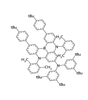 Cc1cccc(C)c1N1c2ccc(-c3ccc(C(C)(C)C)cc3)cc2B2c3cc(-c4ccc(C(C)(C)C)cc4)ccc3N(c3c(C)cccc3C)c3cc(N(c4cc(C(C)(C)C)cc(C(C)(C)C)c4)c4cc(C(C)(C)C)cc(C(C)(C)C)c4)cc1c32